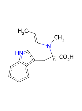 CC=CN(C)[C@@H](Cc1c[nH]c2ccccc12)C(=O)O